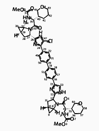 COC(=O)NC(C(=O)N1[C@@H]2C[C@@H]2C[C@H]1c1nc(-c2ccc(-c3ccc(-c4nc([C@@H]5C[C@H]6C[C@H]6N5C(=O)C(NC(=O)OC)[C@H]5CCCOC5)[nH]c4Cl)cc3)cc2)c[nH]1)[C@H]1CCCOC1